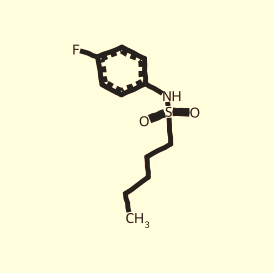 CCCCCS(=O)(=O)Nc1ccc(F)cc1